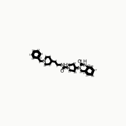 O=C(NCCC1CCN(Cc2ccccc2)CC1)N1CCC(N2Cc3ccccc3NC2=O)CC1